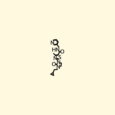 Cc1nc(N2CCN(CCC3CC3)C2=O)sc1C(=O)NCc1cccnc1